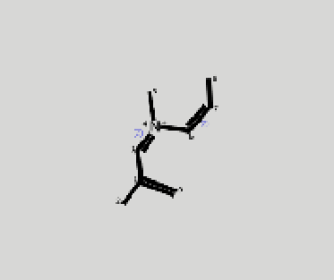 C=C(C)/C=[N+](C)\C=C/C